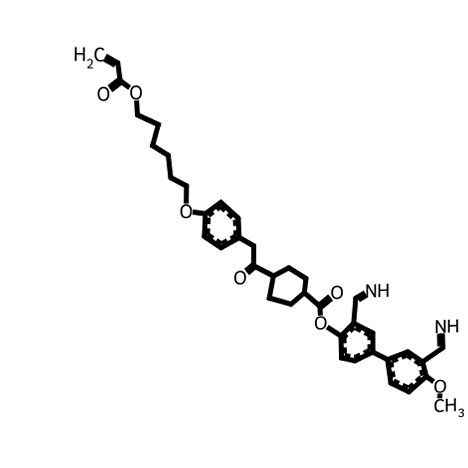 C=CC(=O)OCCCCCCOc1ccc(CC(=O)C2CCC(C(=O)Oc3ccc(-c4ccc(OC)c(C=N)c4)cc3C=N)CC2)cc1